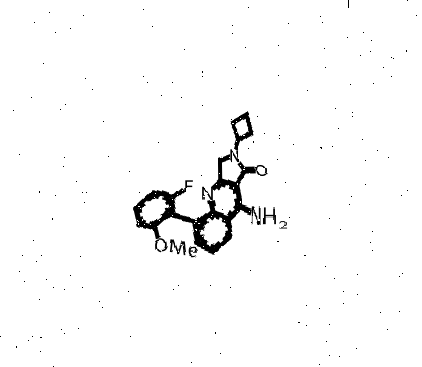 COc1cccc(F)c1-c1cccc2c(N)c3c(nc12)CN(C1CCC1)C3=O